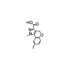 Cn1nc(C(=O)O)c2c1-c1cc(I)ccc1OC2